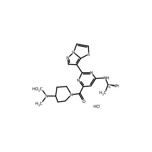 CC(C)[C@@H](C)Nc1cc(C(=O)N2CCC(N(C)C(=O)O)CC2)nc(-c2cnn3ccsc23)n1.Cl